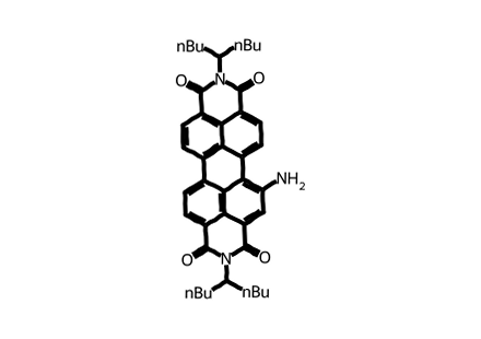 CCCCC(CCCC)N1C(=O)c2ccc3c4ccc5c6c(cc(N)c(c7ccc(c2c37)C1=O)c64)C(=O)N(C(CCCC)CCCC)C5=O